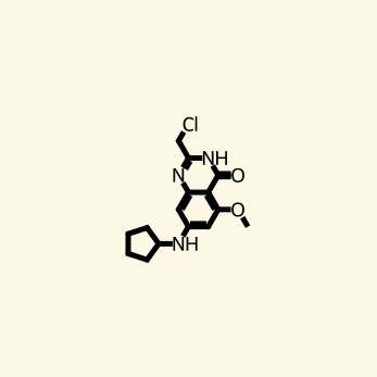 COc1cc(NC2CCCC2)cc2nc(CCl)[nH]c(=O)c12